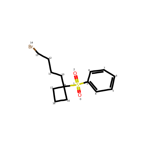 O=S(=O)(c1ccccc1)C1(CCCCBr)CCC1